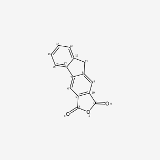 O=C1OC(=O)c2cc3c(cc21)Cc1ccccc1-3